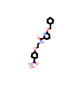 O=C(NO)c1ccc(OCCNC(=O)c2cccc(OCc3ccccc3)n2)cc1